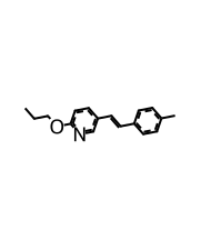 CCCOc1ccc(/C=C/c2ccc(C)cc2)cn1